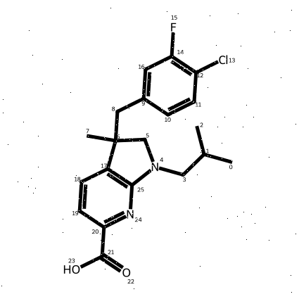 CC(C)CN1CC(C)(Cc2ccc(Cl)c(F)c2)c2ccc(C(=O)O)nc21